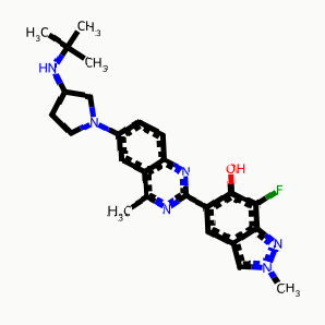 Cc1nc(-c2cc3cn(C)nc3c(F)c2O)nc2ccc(N3CCC(NC(C)(C)C)C3)cc12